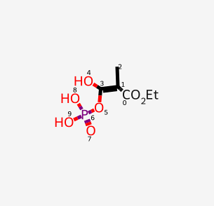 CCOC(=O)C(C)=C(O)OP(=O)(O)O